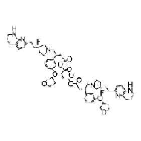 O=C(/C=C\C(=O)OC(=O)C[C@H](CN1CC[C@@](F)(CCc2ccc3c(n2)NCCC3)C1)c1cccc(O[C@H]2CCOC2)c1)OC(=O)C[C@H](CN1CC[C@@](F)(CCc2ccc3c(n2)CCCN3)C1)c1cccc(O[C@H]2CCOC2)c1